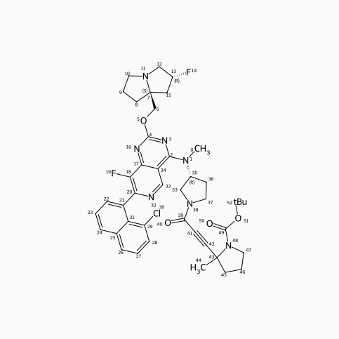 CN(c1nc(OC[C@@]23CCCN2C[C@H](F)C3)nc2c(F)c(-c3cccc4cccc(Cl)c34)ncc12)[C@@H]1CCN(C(=O)C#CC2(C)CCCN2C(=O)OC(C)(C)C)C1